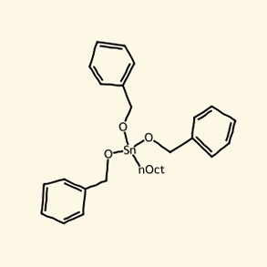 CCCCCCC[CH2][Sn]([O]Cc1ccccc1)([O]Cc1ccccc1)[O]Cc1ccccc1